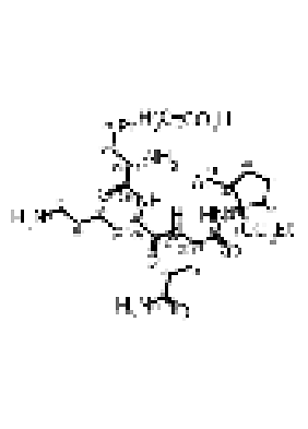 CC(=O)O.CCOC(=O)C1(NC(=O)[C@H](CCC(N)=O)NC(=O)[C@H](CCCCN)NC(=O)[C@@H](N)CC(C)C)CCCC1C(C)=O